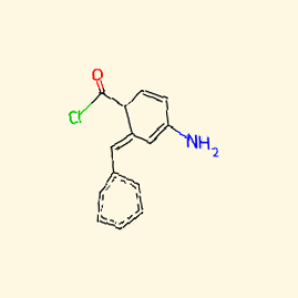 NC1=CC(=Cc2ccccc2)C(C(=O)Cl)C=C1